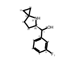 OC(c1cccc(F)c1)[C@H]1CCC2(CC2)N1